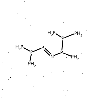 PP(P)/P=N/P(P)P(P)P